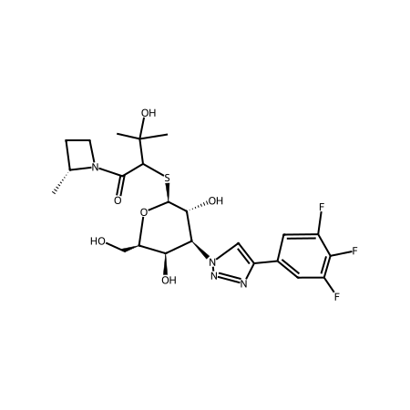 C[C@@H]1CCN1C(=O)C(S[C@@H]1O[C@H](CO)[C@H](O)[C@H](n2cc(-c3cc(F)c(F)c(F)c3)nn2)[C@H]1O)C(C)(C)O